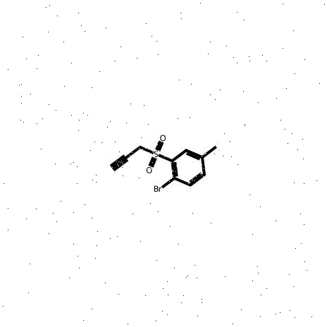 C#CCS(=O)(=O)c1cc(C)ccc1Br